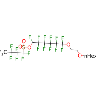 CCCCCCOCCOC(F)(F)C(F)(F)C(F)(F)C(F)(F)C(F)(F)C(F)OS(=O)(=O)C(F)(F)C(F)(F)C(F)(F)C(F)(F)F